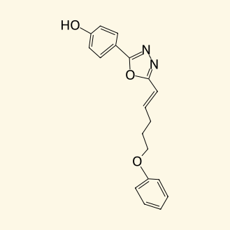 Oc1ccc(-c2nnc(C=CCCCOc3ccccc3)o2)cc1